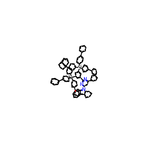 c1ccc(-c2ccc([Si](c3ccc(-c4ccccc4)cc3)(c3ccc(-c4ccccc4)cc3)c3cc(-c4nc(-c5ccccc5)cc(-n5c6ccccc6c6ccccc65)n4)cc([Si](c4ccc(-c5ccccc5)cc4)(c4ccc(-c5ccccc5)cc4)c4ccc(-c5ccccc5)cc4)c3)cc2)cc1